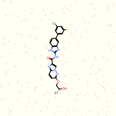 CC[C@@H](O)COc1ccc2nc(C(=O)Nc3nc4cc(-c5cc(F)cc(Cl)c5)ccc4[nH]3)cn2n1